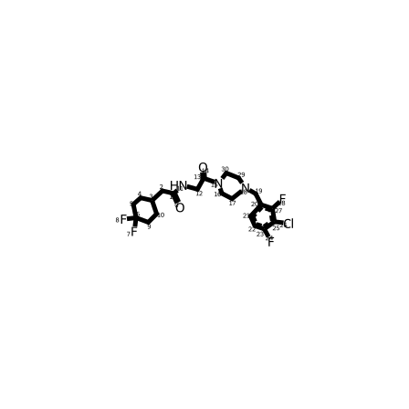 O=C(CC1CCC(F)(F)CC1)NCC(=O)N1CCN(Cc2ccc(F)c(Cl)c2F)CC1